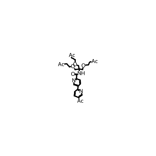 CC(=O)CCOCC(COCCC(C)=O)(COCCC(C)=O)NC(=O)c1ccc(-c2ccc(C(C)=O)cn2)cn1